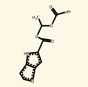 CCCC(=O)OC(C)OC(=O)c1cc2occc2[nH]1